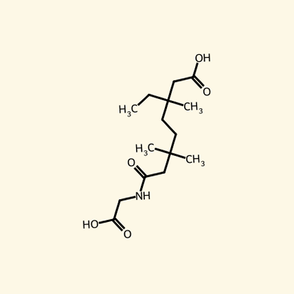 CCC(C)(CCC(C)(C)CC(=O)NCC(=O)O)CC(=O)O